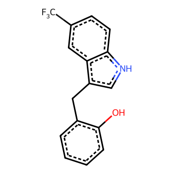 Oc1ccccc1Cc1c[nH]c2ccc(C(F)(F)F)cc12